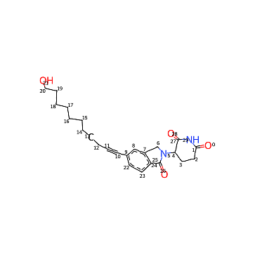 O=C1CCC(N2Cc3cc(C#CCCCCCCCCCO)ccc3C2=O)C(=O)N1